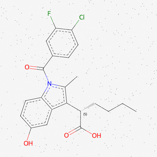 CCCC[C@H](C(=O)O)c1c(C)n(C(=O)c2ccc(Cl)c(F)c2)c2ccc(O)cc12